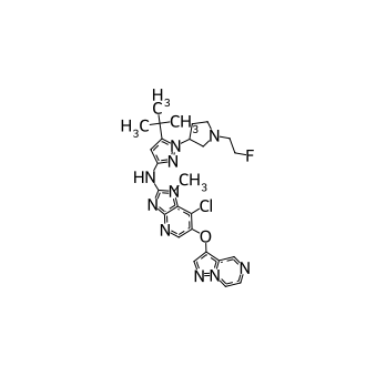 Cn1c(Nc2cc(C(C)(C)C)n(C3CCN(CCF)C3)n2)nc2ncc(Oc3cnn4ccncc34)c(Cl)c21